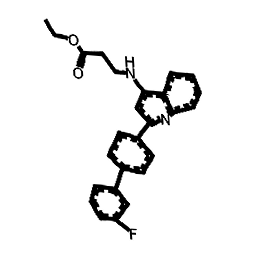 CCOC(=O)CCNc1cc(-c2ccc(-c3cccc(F)c3)cc2)nc2ccccc12